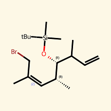 C=CC(C)[C@@H](O[Si](C)(C)C(C)(C)C)[C@H](C)/C=C(/C)CBr